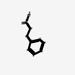 [Cl][AlH][CH2]Cc1ccccc1